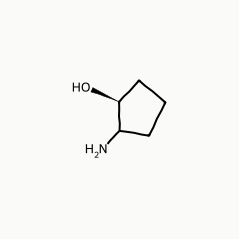 NC1CCC[C@@H]1O